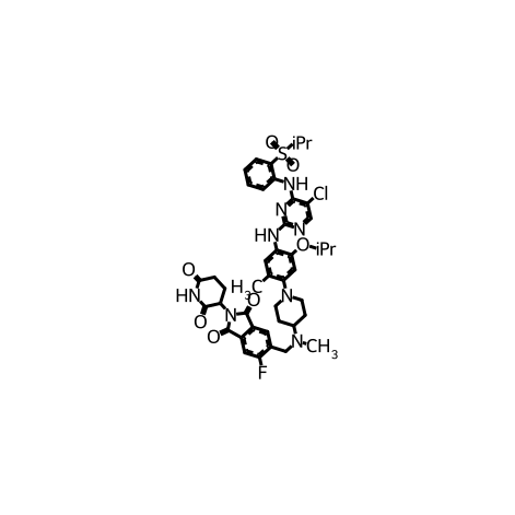 Cc1cc(Nc2ncc(Cl)c(Nc3ccccc3S(=O)(=O)C(C)C)n2)c(OC(C)C)cc1N1CCC(N(C)Cc2cc3c(cc2F)C(=O)N(C2CCC(=O)NC2=O)C3=O)CC1